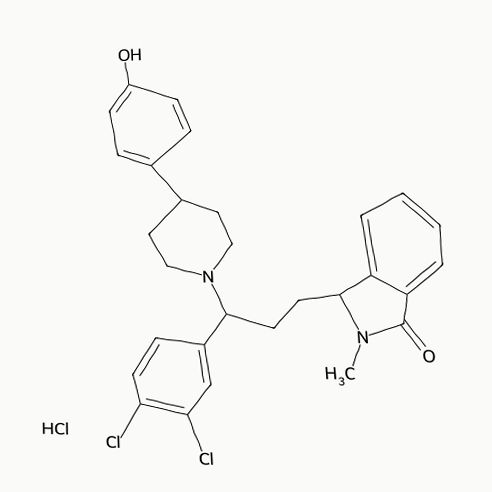 CN1C(=O)c2ccccc2C1CCC(c1ccc(Cl)c(Cl)c1)N1CCC(c2ccc(O)cc2)CC1.Cl